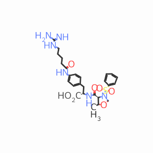 CC1OCN(S(=O)(=O)c2ccccc2)[C@@H]1C(=O)N[C@@H](Cc1ccc(NC(=O)CCCCNC(=N)N)cc1)C(=O)O